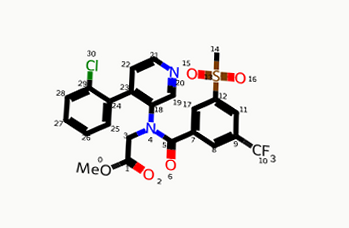 COC(=O)CN(C(=O)c1cc(C(F)(F)F)cc(S(C)(=O)=O)c1)c1cnccc1-c1ccccc1Cl